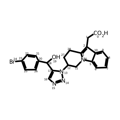 O=C(O)Cc1c2n(c3ccccc13)CC(n1nncc1C(O)c1ccc(Br)cc1)CC2